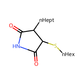 CCCCCCCC1C(=O)NC(=O)C1SCCCCCC